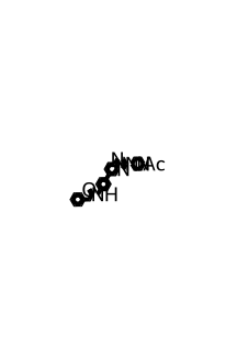 CC(=O)N1CCN(c2cnc3ccc(-c4ccc(NC(=O)Cc5ccccc5)cc4)cc3n2)CC1